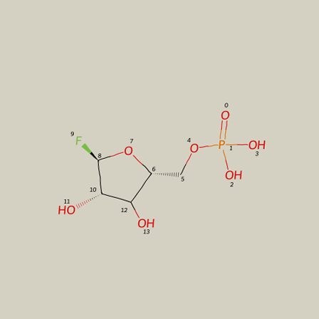 O=P(O)(O)OC[C@H]1O[C@H](F)[C@@H](O)C1O